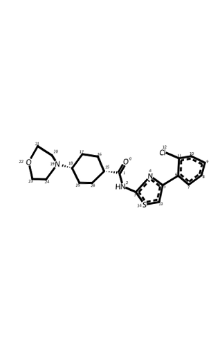 O=C(Nc1nc(-c2ccccc2Cl)cs1)[C@H]1CC[C@@H](N2CCOCC2)CC1